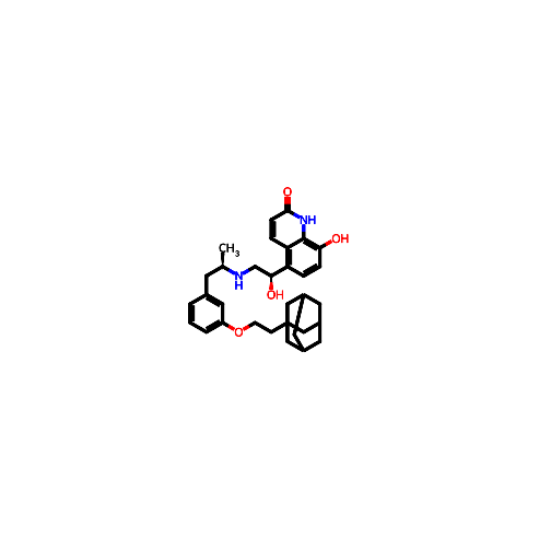 C[C@H](Cc1cccc(OCCC23CC4CC(CC(C4)C2)C3)c1)NC[C@H](O)c1ccc(O)c2[nH]c(=O)ccc12